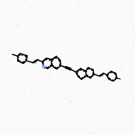 Cc1ccc(/C=C/c2ccc3cc(C#Cc4ccc5cc(/C=C/c6ccc(C)cc6)ncc5c4)ccc3c2)cc1